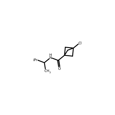 CC(C)C(C)NC(=O)C12CC(Cl)(C1)C2